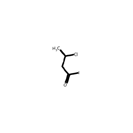 CC(Cl)CC(=O)I